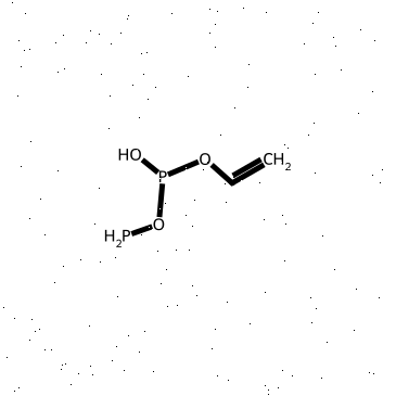 C=COP(O)OP